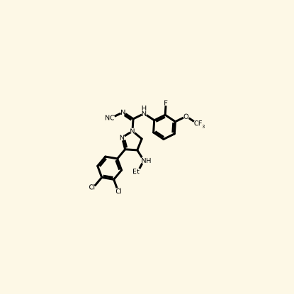 CCNC1CN(/C(=N\C#N)Nc2cccc(OC(F)(F)F)c2F)N=C1c1ccc(Cl)c(Cl)c1